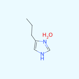 CCCc1c[nH]cn1.O